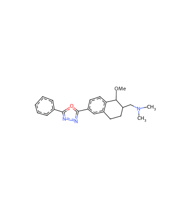 COC1c2ccc(-c3nnc(-c4ccccc4)o3)cc2CCC1CN(C)C